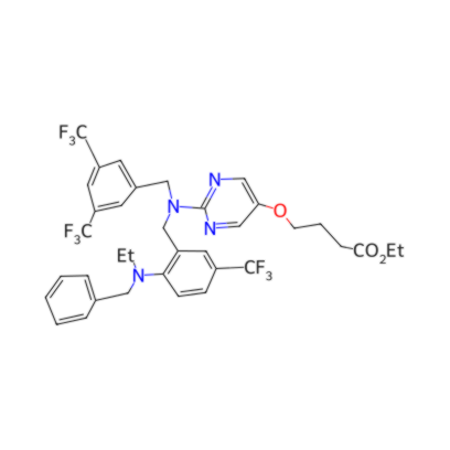 CCOC(=O)CCCOc1cnc(N(Cc2cc(C(F)(F)F)cc(C(F)(F)F)c2)Cc2cc(C(F)(F)F)ccc2N(CC)Cc2ccccc2)nc1